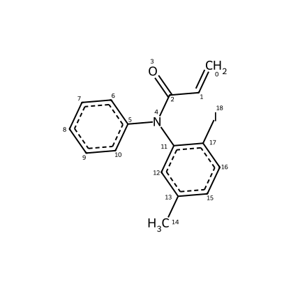 C=CC(=O)N(c1ccccc1)c1cc(C)ccc1I